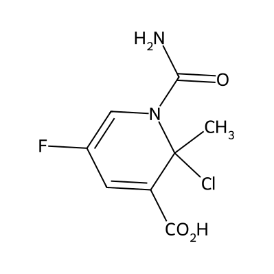 CC1(Cl)C(C(=O)O)=CC(F)=CN1C(N)=O